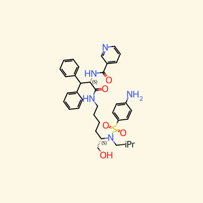 CC(C)CN([C@H](CO)CCCCNC(=O)[C@@H](NC(=O)c1cccnc1)C(c1ccccc1)c1ccccc1)S(=O)(=O)c1ccc(N)cc1